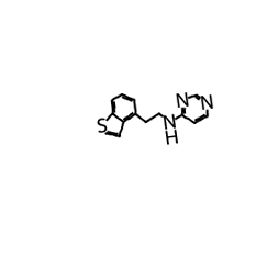 c1cc(CCNc2ccncn2)c2ccsc2c1